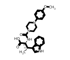 COc1ccc(N2CCN(C(=O)N[C@@H](C(=O)O)[C@@H](C)c3c[nH]c4ccccc34)CC2)cc1